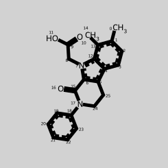 Cc1ccc2c3c(n(CC(=O)O)c2c1C)C(=O)N(c1ccccc1)CC3